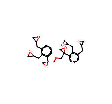 c1cc(CC2CO2)c(CC2CO2)c(C2(COCC3(c4cccc(CC5CO5)c4CC4CO4)CO3)CO2)c1